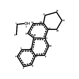 CCO.c1ccc2c(c1)ccc1c3c(ccc12)CCCC3